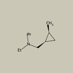 CCN(C[C@@H]1C[C@@H]1C)C(C)C